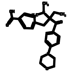 CCC(Cc1ccc(C(=O)O)cc1)(C(=O)c1ccc(N2CCOCC2)cc1)N(C)C